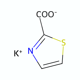 O=C([O-])c1nccs1.[K+]